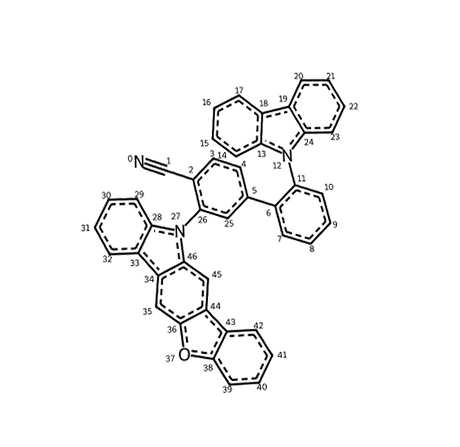 N#Cc1ccc(-c2ccccc2-n2c3ccccc3c3ccccc32)cc1-n1c2ccccc2c2cc3oc4ccccc4c3cc21